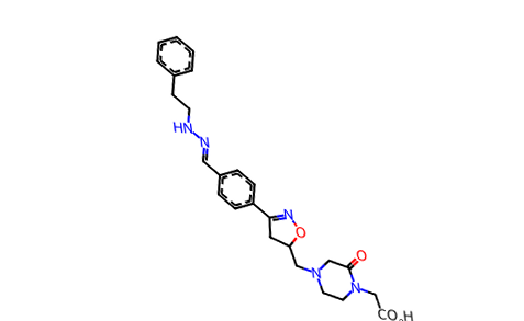 O=C(O)CN1CCN(CC2CC(c3ccc(C=NNCCc4ccccc4)cc3)=NO2)CC1=O